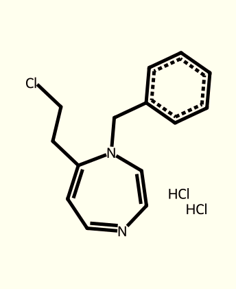 Cl.Cl.ClCCC1=CC=NC=CN1Cc1ccccc1